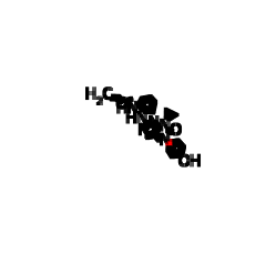 C=CCOCNc1ccccc1Nc1ncc2c(n1)N(C1CC1)C(=O)N(C13CCC(O)(CC1)CC3)C2